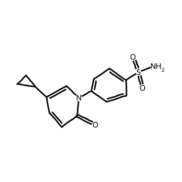 NS(=O)(=O)c1ccc(-n2cc(C3CC3)ccc2=O)cc1